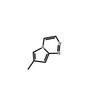 Cc1cc2nnccn2c1